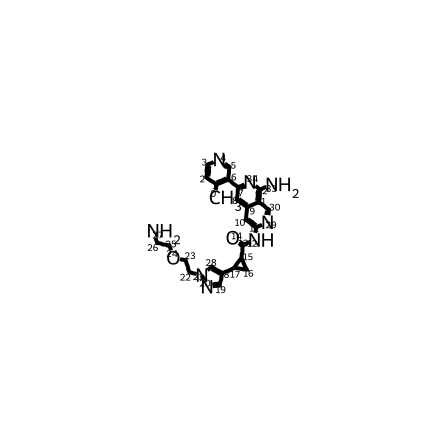 Cc1ccncc1-c1cc2cc(NC(=O)C3CC3c3cnn(CCOCCN)c3)ncc2c(N)n1